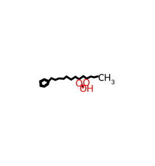 CCCCCCC(CCCCCCCc1ccccc1)OC(=O)O